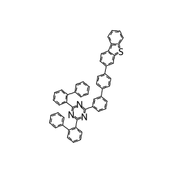 c1ccc(-c2ccccc2-c2nc(-c3cccc(-c4ccc(-c5ccc6c(c5)sc5ccccc56)cc4)c3)nc(-c3ccccc3-c3ccccc3)n2)cc1